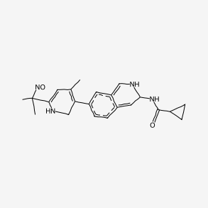 CC1=C(c2ccc3c(c2)=CNC(NC(=O)C2CC2)C=3)CNC(C(C)(C)N=O)=C1